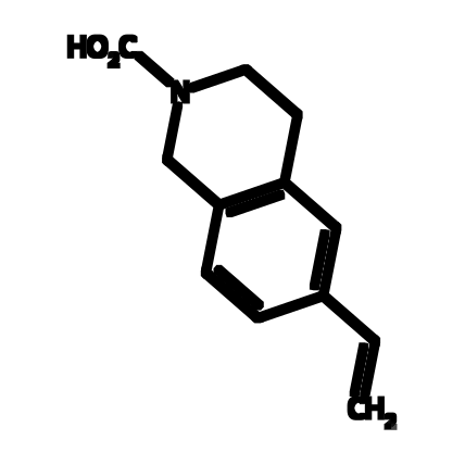 C=Cc1ccc2c(c1)CCN(C(=O)O)C2